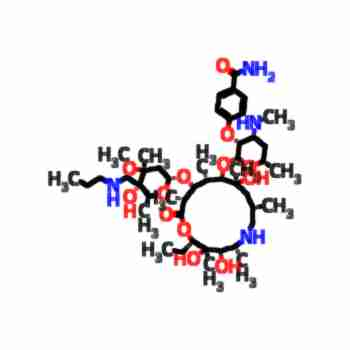 CCCNC[C@]1(O)[C@H](C)O[C@@H](O[C@H]2[C@H](C)[C@@H](O[C@@H]3O[C@H](C)C[C@H](NC)[C@H]3Oc3ccc(C(N)=O)cc3)[C@](C)(O)C[C@@H](C)CN[C@H](C)[C@@H](O)[C@](C)(O)[C@@H](CC)OC(=O)[C@@H]2C)C[C@@]1(C)OC